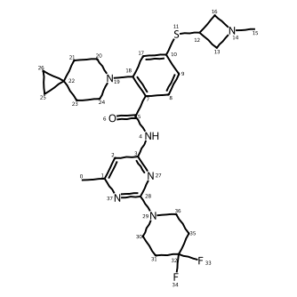 Cc1cc(NC(=O)c2ccc(SC3CN(C)C3)cc2N2CCC3(CC2)CC3)nc(N2CCC(F)(F)CC2)n1